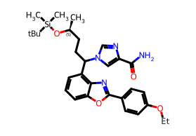 CCOc1ccc(-c2nc3c(C(CC[C@H](C)O[Si](C)(C)C(C)(C)C)n4cnc(C(N)=O)c4)cccc3o2)cc1